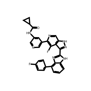 O=C(Nc1cncc(-c2ncc3[nH]nc(-c4nc5c(-c6ccc(F)cc6)cccc5[nH]4)c3c2F)c1)C1CC1